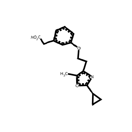 Cc1oc(C2CC2)nc1CCOc1cccc(CC(=O)O)c1